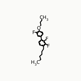 CCCCCCc1ccc(-c2ccc(OCCCC)c(F)c2)c(F)c1F